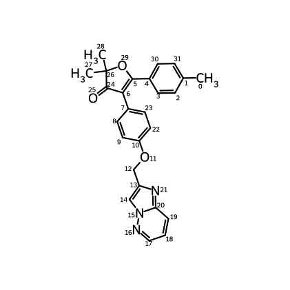 Cc1ccc(C2=C(c3ccc(OCc4cn5ncccc5n4)cc3)C(=O)C(C)(C)O2)cc1